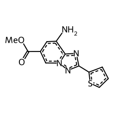 COC(=O)c1cc(N)c2nc(-c3cccs3)nn2c1